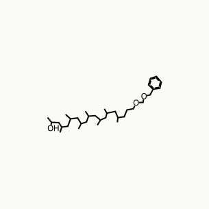 CC(O)CC(C)CC(C)CC(C)CC(C)CC(C)CC(C)CC(C)CCCOCOCc1ccccc1